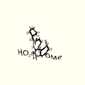 COc1cc(F)c(C2CCN(Cc3ccccc3)CC2NC(=O)O)c(F)c1